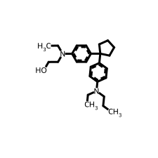 CCCN(CC)c1ccc(C2(c3ccc(N(CC)CCO)cc3)CCCC2)cc1